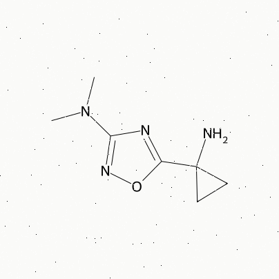 CN(C)c1noc(C2(N)CC2)n1